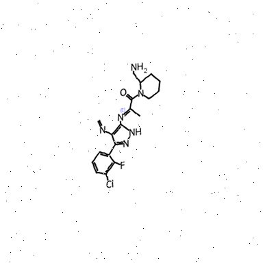 C=Nc1c(-c2cccc(Cl)c2F)n[nH]c1/N=C(\C)C(=O)N1CCCCC1CN